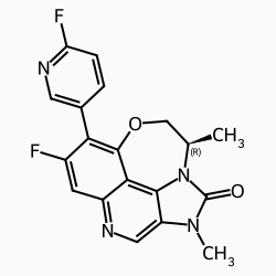 C[C@@H]1COc2c(-c3ccc(F)nc3)c(F)cc3ncc4c(c23)n1c(=O)n4C